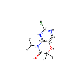 CC(C)N1C(=O)C(C)(C)Oc2cnc(Cl)nc21